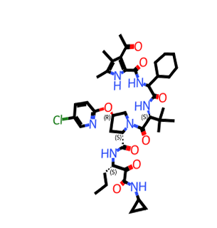 CCC[C@H](NC(=O)[C@@H]1C[C@@H](Oc2ccc(Cl)cn2)CN1C(=O)[C@@H](NC(=O)C(NC(=O)c1[nH]c(C)c(C)c1C(C)=O)C1CCCCC1)C(C)(C)C)C(=O)C(=O)NC1CC1